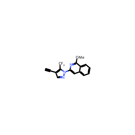 C#Cc1cnn(-c2cc3ccccc3c(OC)n2)c1C(F)(F)F